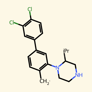 [CH2]c1ccc(-c2ccc(Cl)c(Cl)c2)cc1N1CCNCC1C(C)C